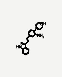 Nc1cc(C=Cc2n[nH]c3ccccc23)ccc1N1CCNCC1